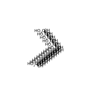 O=C(O)C(O)CO.O=C(O)C(O)CO.O=C(O)C(O)CO.O=C(O)C(O)CO.O=C(O)C(O)CO.O=C(O)C(O)CO.O=C(O)C(O)CO.O=C(O)C(O)CO.O=C(O)C(O)CO.O=C(O)C(O)CO.O=C(O)C(O)CO.O=C(O)C(O)CO.O=C(O)C(O)CO.O=C(O)C(O)CO.O=C(O)C(O)CO